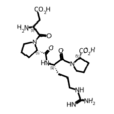 N=C(N)NCCC[C@H](NC(=O)[C@@H]1CCCN1C(=O)[C@@H](N)CC(=O)O)C(=O)N1CCC[C@H]1C(=O)O